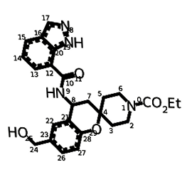 CCOC(=O)N1CCC2(CC1)CC(NC(=O)c1cccc3cn[nH]c13)c1cc(CO)ccc1O2